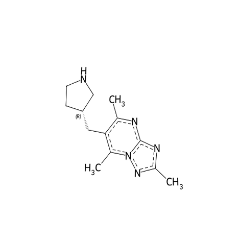 Cc1nc2nc(C)c(C[C@@H]3CCNC3)c(C)n2n1